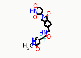 Cn1ncc(C(F)(F)C(=O)NCc2ccc3c(c2)CN(C2CCC(=O)NC2=O)C3=O)cc1=O